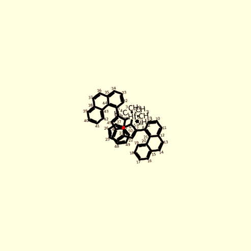 [CH3][Hf]([CH3])([CH3])([CH3])(=[SiH2])([CH]1C(c2cccc3ccc4ccccc4c23)=Cc2ccccc21)[CH]1C(c2cccc3ccc4ccccc4c23)=Cc2ccccc21